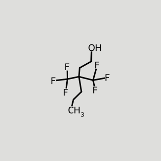 CCCC(CCO)(C(F)(F)F)C(F)(F)F